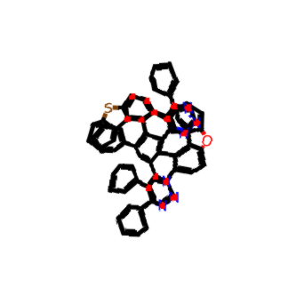 c1ccc(-c2cc(-c3nnnc(-c4ccccc4)c3-c3ccccc3)c(-c3c(-c4ccccc4)ccc4oc5ccccc5c34)c(-c3nnnc(-c4ccccc4)c3-c3ccccc3)c2-c2c(-c3ccccc3)ccc3sc4ccccc4c23)cc1